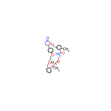 COCCNC(=O)c1cc(COC2CNCCC2c2ccc(OCCCOCc3ccccc3OC)cc2)ccc1C